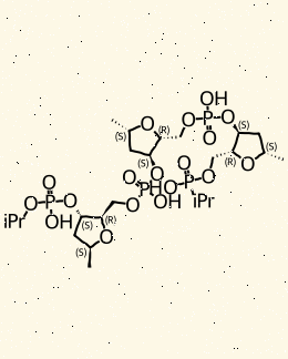 CC(C)OP(=O)(O)O[C@H]1C[C@H](C)O[C@@H]1COP(=O)(O)O[C@H]1C[C@H](C)O[C@@H]1COP(=O)(O)O[C@H]1C[C@H](C)O[C@@H]1COP(=O)(O)C(C)C